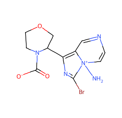 N[N+]12C=CN=CC1=C(C1COCCN1C(=O)[O-])N=C2Br